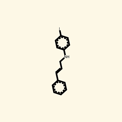 Ic1ccc(NCC=Cc2ccccc2)cc1